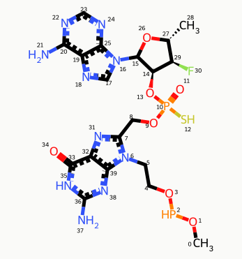 COPOCCn1c(COP(=O)(S)O[C@H]2C(n3cnc4c(N)ncnc43)O[C@H](C)[C@H]2F)nc2c(=O)[nH]c(N)nc21